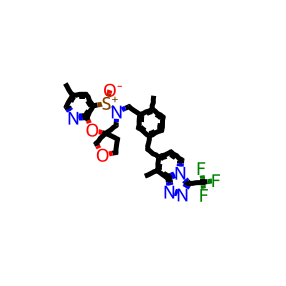 Cc1cnc2c(c1)[S+]([O-])N(Cc1cc(Cc3ccn4c(C(F)(F)F)nnc4c3C)ccc1C)CC1(CCOC1)O2